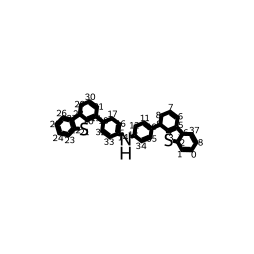 C1=CC2SC3=C(C=CCC3C3=CCC(NC4=CCC(C5=C6Sc7ccccc7C6CC=C5)C=C4)C=C3)C2C=C1